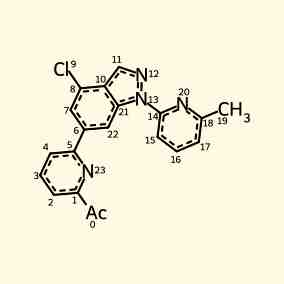 CC(=O)c1cccc(-c2cc(Cl)c3cnn(-c4cccc(C)n4)c3c2)n1